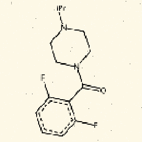 CC(C)N1CCN(C(=O)c2c(F)cccc2F)CC1